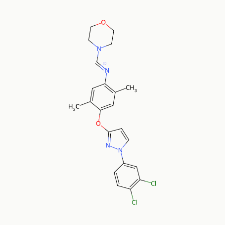 Cc1cc(Oc2ccn(-c3ccc(Cl)c(Cl)c3)n2)c(C)cc1/N=C/N1CCOCC1